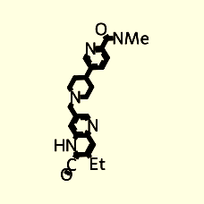 CCC1=Cc2ncc(CN3CCC(c4ccc(C(=O)NC)nc4)CC3)cc2NC1=C=O